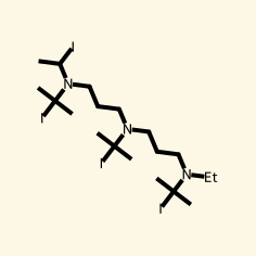 CCN(CCCN(CCCN(C(C)I)C(C)(C)I)C(C)(C)I)C(C)(C)I